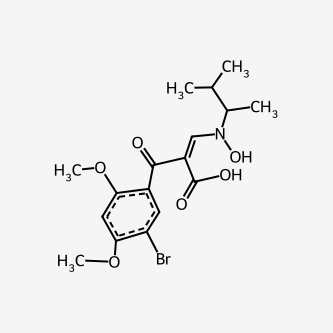 COc1cc(OC)c(C(=O)C(=CN(O)C(C)C(C)C)C(=O)O)cc1Br